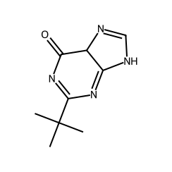 CC(C)(C)C1=NC(=O)C2N=CNC2=N1